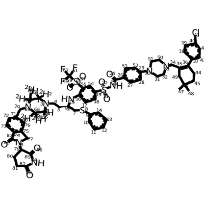 [2H]C1([2H])N(CC[C@H](CSc2ccccc2)Nc2ccc(S(=O)(=O)NC(=O)c3ccc(N4CCN(CC5=C(c6ccc(Cl)cc6)CCC(C)(C)C5)CC4)cc3)cc2S(=O)(=O)C(F)(F)F)C([2H])([2H])C([2H])([2H])N(Cc2ccc3c(c2)CN(C2CCC(=O)NC2=O)C3=O)C1([2H])[2H]